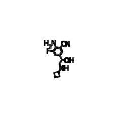 N#Cc1cc(C(O)CNC2CCC2)cc(F)c1N